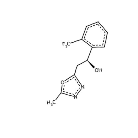 Cc1nnc(C[C@H](O)c2ccccc2C(F)(F)F)o1